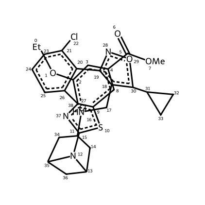 CCOc1cc(C(=O)OC)cc2sc(N3C4CC(NCc5c(-c6c(Cl)cccc6Cl)noc5C5CC5)CC3C4)nc12